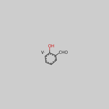 O=Cc1ccccc1O.[V]